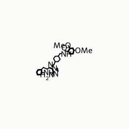 COc1ccc(C(=O)NCC2CCC(c3nc(C4Cc5ccccc5N4)c4c(N)nccn34)CC2)c(OC)c1